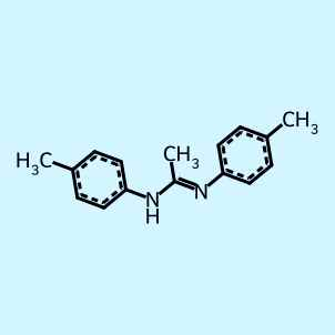 C/C(=N\c1ccc(C)cc1)Nc1ccc(C)cc1